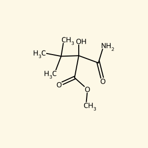 COC(=O)C(O)(C(N)=O)C(C)(C)C